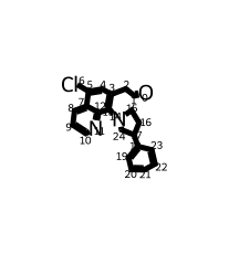 O=CCc1cc(Cl)c2cccnc2c1N1CCC(c2ccccc2)C1